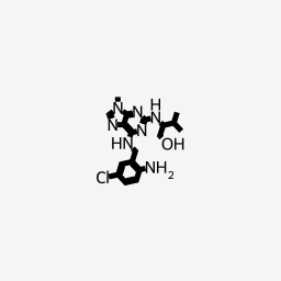 CC(C)C(CO)Nc1nc(NCc2cc(Cl)ccc2N)c2ncn(C)c2n1